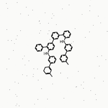 CC1=CCCC(c2cccc(Nc3ccc(-c4cccc(-c5ccccc5Nc5cccc(-c6cccc(C)c6)c5)c4)cc3-c3ccccc3)c2)=C1